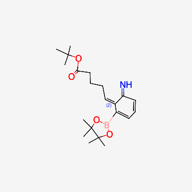 CC(C)(C)OC(=O)CCC/C=C1\C(=N)C=CC=C1B1OC(C)(C)C(C)(C)O1